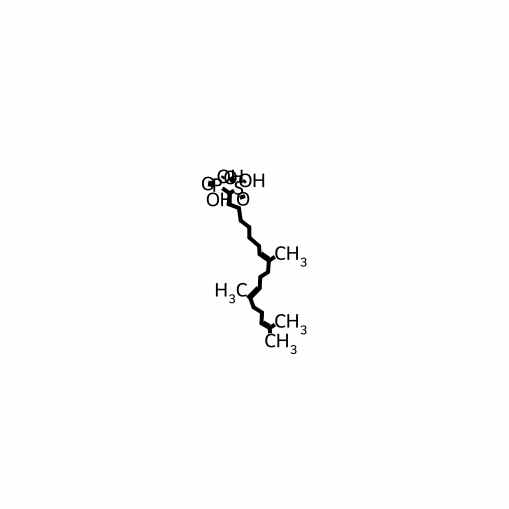 CC(C)=CCCC(C)=CCCC(C)=CCCCCCCC(P(=O)(O)O)S(=O)(=O)O